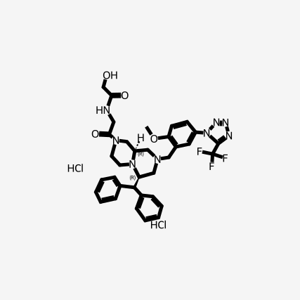 COc1ccc(-n2nnnc2C(F)(F)F)cc1CN1C[C@@H]2CN(C(=O)CNC(=O)CO)CCN2[C@H](C(c2ccccc2)c2ccccc2)C1.Cl.Cl